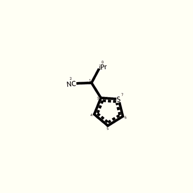 CC(C)C(C#N)c1cccs1